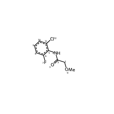 COCC(=O)Nc1c(F)cccc1Cl